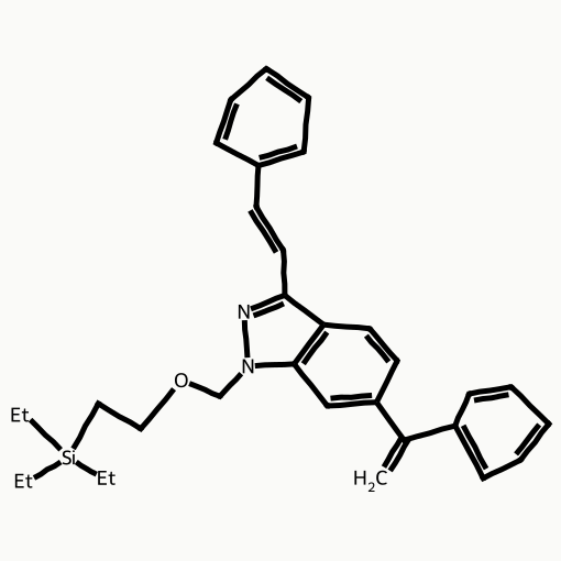 C=C(c1ccccc1)c1ccc2c(C=Cc3ccccc3)nn(COCC[Si](CC)(CC)CC)c2c1